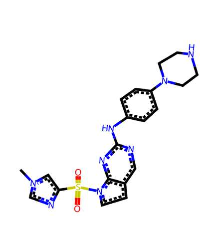 Cn1cnc(S(=O)(=O)n2ccc3cnc(Nc4ccc(N5CCNCC5)cc4)nc32)c1